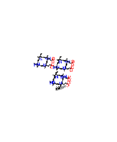 CCC1=C(C)c2cc3[nH]c(cc4nc(cc5[nH]c(cc1n2)c(C)c5CCC(=O)[O-])C(CCC(=O)[O-])=C4C)c(C)c3CC.CCC1=C(C)c2cc3[nH]c(cc4nc(cc5[nH]c(cc1n2)c(C)c5CCC(=O)[O-])C(CCC(=O)[O-])=C4C)c(C)c3CC.CCC1=C(C)c2cc3[nH]c(cc4nc(cc5[nH]c(cc1n2)c(C)c5CCC(=O)[O-])C(CCC(=O)[O-])=C4C)c(C)c3CC.[Mn+3].[Mn+3]